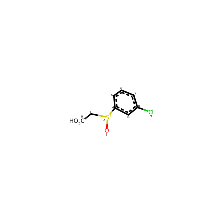 O=C(O)C[S+]([O-])c1cccc(Cl)c1